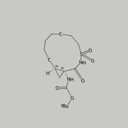 CC(C)(C)OC(=O)N[C@]12C[C@H]1CCCCCCCS(=O)(=O)NC2=O